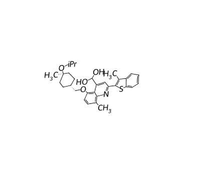 Cc1c(-c2cc(C(O)O)c3c(OC[C@H]4CC[C@](C)(OC(C)C)CC4)ccc(C)c3n2)sc2ccccc12